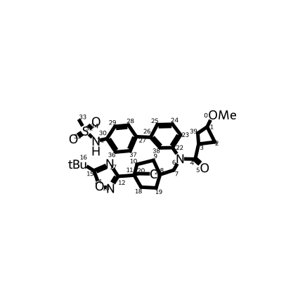 COC1CC(C(=O)N(CC23CCC(c4noc(C(C)(C)C)n4)(CC2)CC3)c2cccc(-c3ccc(NS(C)(=O)=O)cc3)c2)C1